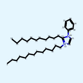 CCCCCCCCCCCCC[n+]1ccn(-c2ccccc2)c1CCCCCCCCCCC